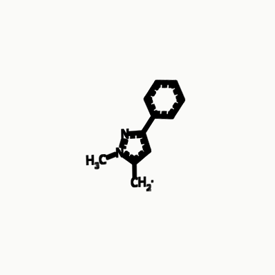 [CH2]c1cc(-c2ccccc2)nn1C